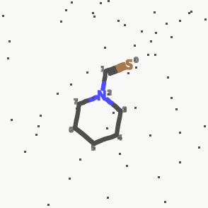 S=CN1CCCCC1